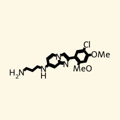 COc1cc(OC)c(-c2cn3ccc(NCCCN)cc3n2)cc1Cl